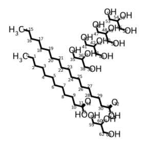 CCCCCCCCCCCC(=O)O.CCCCCCCCCCCCCCCCCC(=O)O.OCC(O)CO.OCC(O)CO.OCC(O)CO.OCC(O)CO.OCC(O)CO